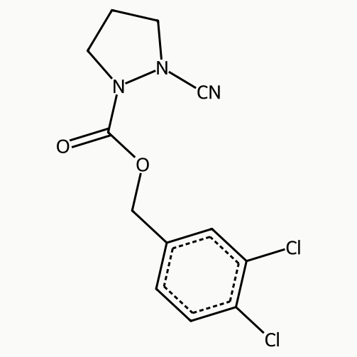 N#CN1CCCN1C(=O)OCc1ccc(Cl)c(Cl)c1